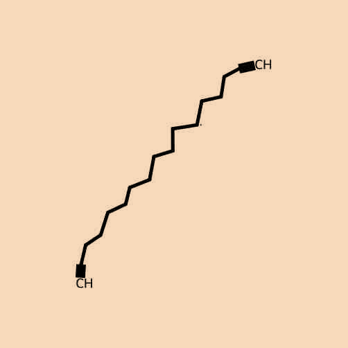 C#CCCC[CH]CCCCCCCCCC#C